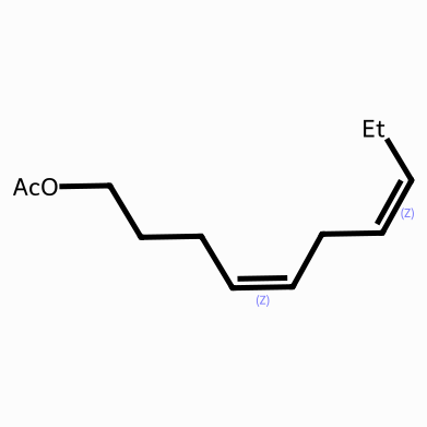 CC/C=C\C/C=C\CCCOC(C)=O